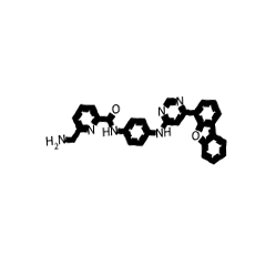 NCc1cccc(C(=O)Nc2ccc(Nc3cc(-c4cccc5c4oc4ccccc45)ncn3)cc2)n1